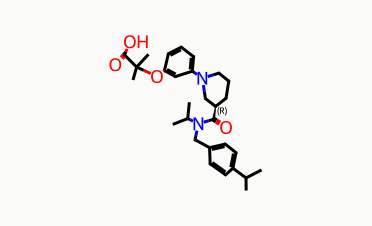 CC(C)c1ccc(CN(C(=O)[C@@H]2CCCN(c3cccc(OC(C)(C)C(=O)O)c3)C2)C(C)C)cc1